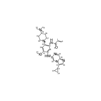 C=CC(=O)Nc1cc(Nc2cn3c(C4CC4)cnc3cn2)c(OC)cc1N1CCC(N(C)C)CC1